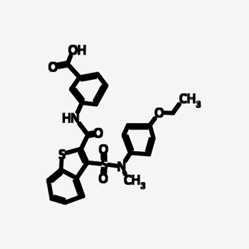 CCOc1ccc(N(C)S(=O)(=O)c2c(C(=O)Nc3cccc(C(=O)O)c3)sc3ccccc23)cc1